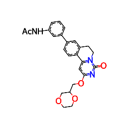 CC(=O)Nc1cccc(-c2ccc3c(c2)CCn2c-3cc(OCC3COCCO3)nc2=O)c1